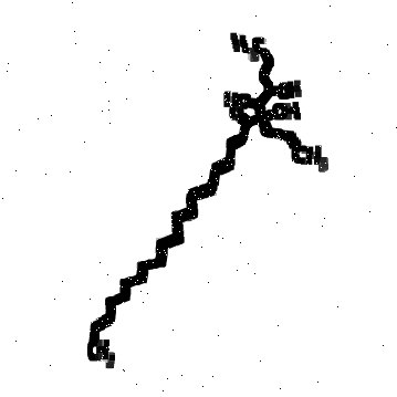 CCCCCCCCCCCCCC=CC=CC=CC(=O)C(O)(CCC)C(O)C(O)CCC